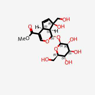 COC(=O)C1=CO[C@@H](O[C@@H]2O[C@H](CO)[C@@H](O)[C@H](O)[C@H]2O)[C@H]2[C@@H]1C=C[C@]2(O)CO